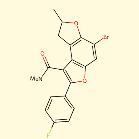 CNC(=O)c1c(-c2ccc(F)cc2)oc2cc(Br)c3c(c12)CC(C)O3